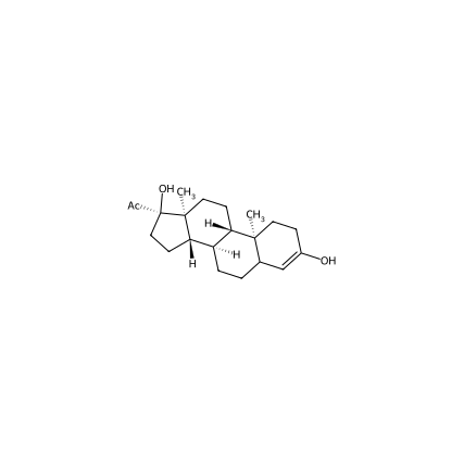 CC(=O)[C@@]1(O)CC[C@H]2[C@@H]3CCC4C=C(O)CC[C@]4(C)[C@H]3CC[C@@]21C